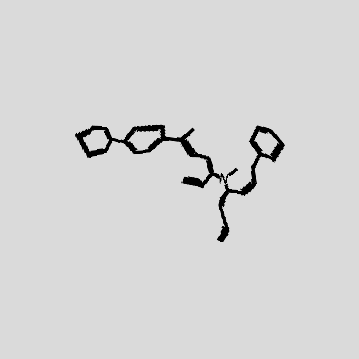 C=C/C=C(\C=C/Cc1ccccc1)N(C)/C(C=C)=C/C=C(\C)c1ccc(C2=CCCC=C2)cc1